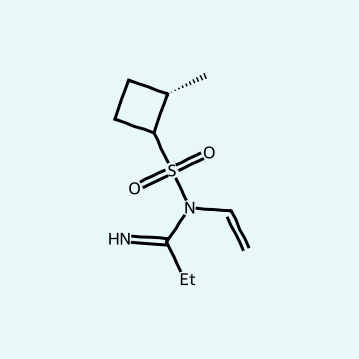 C=CN(C(=N)CC)S(=O)(=O)C1CC[C@@H]1C